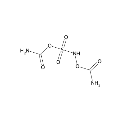 NC(=O)ONS(=O)(=O)OC(N)=O